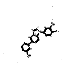 Oc1cccc(-c2ccc3c(cnn3-c3ccc(F)c(O)c3)c2)c1